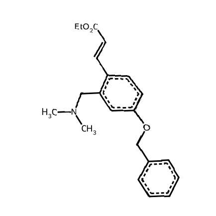 CCOC(=O)/C=C/c1ccc(OCc2ccccc2)cc1CN(C)C